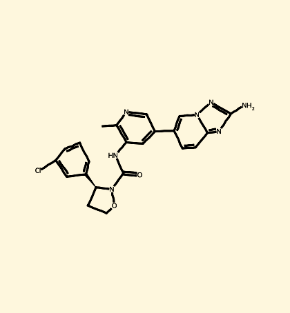 Cc1ncc(-c2ccc3nc(N)nn3c2)cc1NC(=O)N1OCC[C@H]1c1cccc(Cl)c1